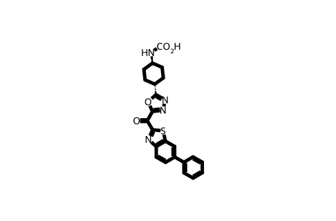 O=C(O)N[C@H]1CC[C@H](c2nnc(C(=O)c3nc4ccc(-c5ccccc5)cc4s3)o2)CC1